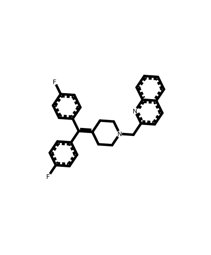 Fc1ccc(C(=C2CCN(Cc3ccc4ccccc4n3)CC2)c2ccc(F)cc2)cc1